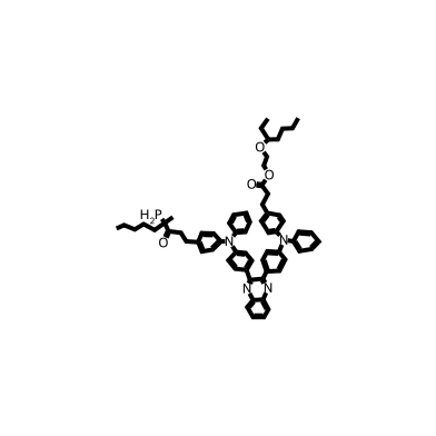 CCCCCC(C)(P)C(=O)CCc1ccc(N(c2ccccc2)c2ccc(-c3nc4ccccc4nc3-c3ccc(N(c4ccccc4)c4ccc(CCC(=O)OCCOC(CC)CCCC)cc4)cc3)cc2)cc1